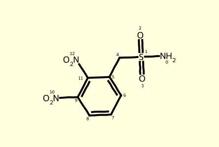 NS(=O)(=O)Cc1cccc([N+](=O)[O-])c1[N+](=O)[O-]